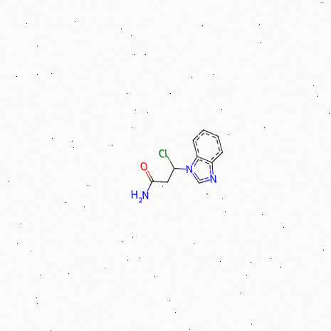 NC(=O)CC(Cl)n1cnc2ccccc21